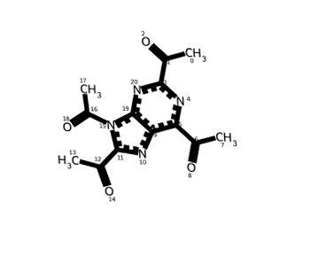 CC(=O)c1nc(C(C)=O)c2nc(C(C)=O)n(C(C)=O)c2n1